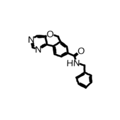 O=C(NCc1ccccc1)c1ccc2c(c1)COc1cncnc1-2